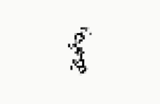 O=C(c1cnn(-c2cc3ccsc3c(=O)[nH]2)c1)N1CCC(C(F)(F)F)CC1